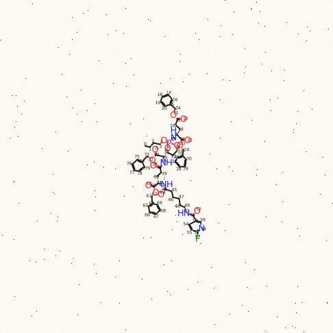 CCCCOP(=O)(N[C@@H](CCC(=O)OCc1ccccc1)C(=O)OCc1ccccc1)OCCC[C@H](NC(=O)CC[C@H](NC(=O)CCCCCNC(=O)c1ccc(F)nc1)C(=O)OCc1ccccc1)C(=O)OCc1ccccc1